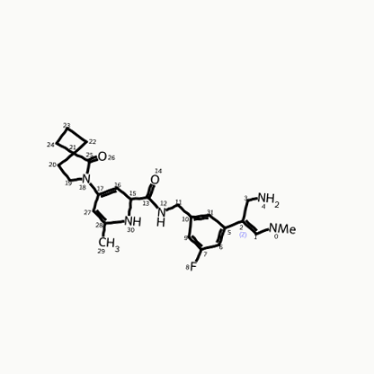 CN/C=C(\CN)c1cc(F)cc(CNC(=O)C2C=C(N3CCC4(CCC4)C3=O)C=C(C)N2)c1